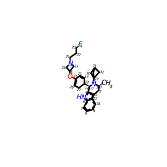 C[C@@H]1Cc2c([nH]c3ccccc23)[C@@H](C2C=CC(OC3CN(CCCF)C3)=CC2)N1C12CC(C1)C2